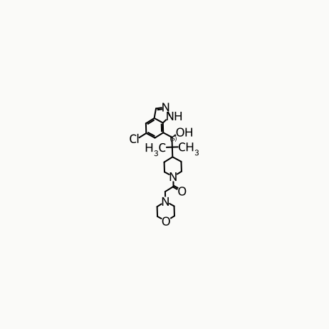 CC(C)(C1CCN(C(=O)CN2CCOCC2)CC1)[C@H](O)c1cc(Cl)cc2cn[nH]c12